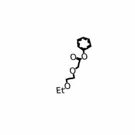 CCOCCOCC(=O)Oc1ccccc1